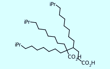 CC(C)CCCCCCCC(CCC(=O)O)C(CCCCCCCC(C)C)(CCCCCCCC(C)C)C(=O)O